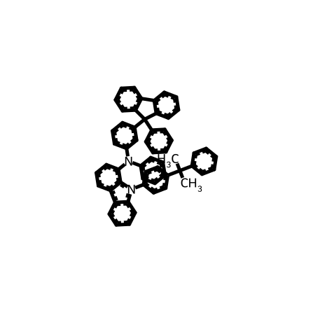 CC(C)(c1ccccc1)c1ccc(-n2c3ccccc3c3cccc(N(c4ccccc4)c4cccc(C5(c6ccccc6)c6ccccc6-c6ccccc65)c4)c32)cc1